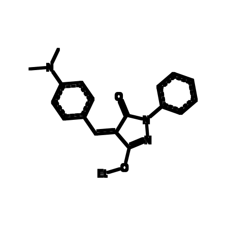 CCOC1=NN(c2ccccc2)C(=O)C1=Cc1ccc(N(C)C)cc1